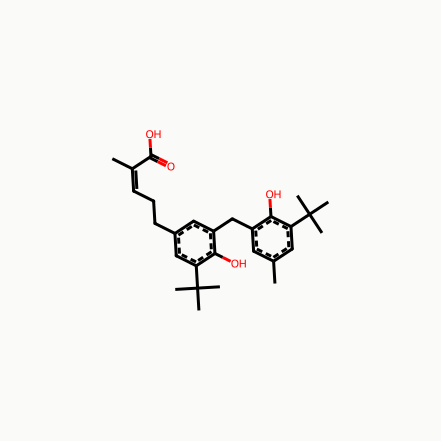 CC(=CCCc1cc(Cc2cc(C)cc(C(C)(C)C)c2O)c(O)c(C(C)(C)C)c1)C(=O)O